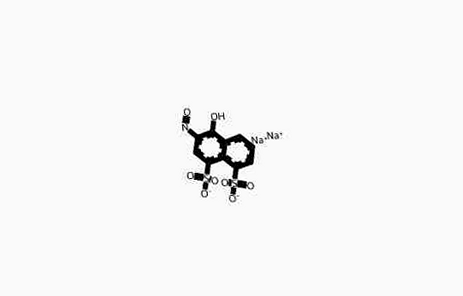 O=Nc1cc(S(=O)(=O)[O-])c2c(S(=O)(=O)[O-])cccc2c1O.[Na+].[Na+]